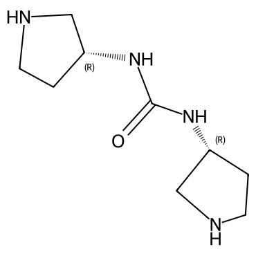 O=C(N[C@@H]1CCNC1)N[C@@H]1CCNC1